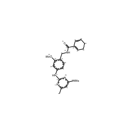 CNc1cc(C)nc(Nc2ccc(CNC(=O)C3=CCCC=C3)c(OC)c2)n1